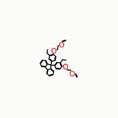 C=COCCOc1ccc(C2(c3ccc(OCCOC=C)c(CC)c3)c3ccccc3-c3ccccc32)cc1CC